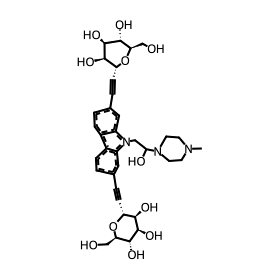 CN1CCN(C(O)Cn2c3cc(C#C[C@H]4O[C@H](CO)[C@@H](O)[C@H](O)[C@@H]4O)ccc3c3ccc(C#C[C@H]4O[C@H](CO)[C@@H](O)[C@H](O)[C@@H]4O)cc32)CC1